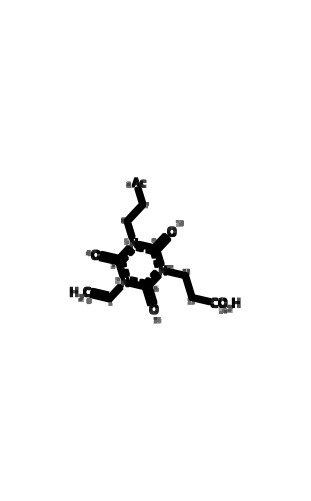 C=Cn1c(=O)n(CCC(C)=O)c(=O)n(CCC(=O)O)c1=O